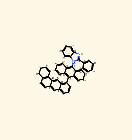 C1=Cc2c(ccc3cc4cccc(-c5c6c(c(-n7c(-c8ccccc8)nc8ccccc87)c7ccccc57)=CCCC=6)c4cc23)CC1